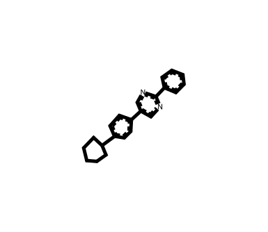 c1ccc(-c2ncc(-c3ccc(C4CCCCC4)cc3)cn2)cc1